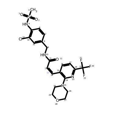 CS(=O)(=O)Nc1ccc(CNC(=O)/C=C\c2ccc(C(F)(F)F)nc2N2CCOCC2)cc1Cl